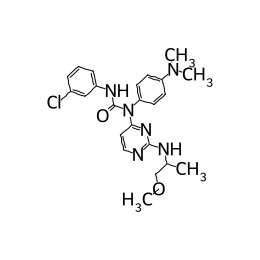 COCC(C)Nc1nccc(N(C(=O)Nc2cccc(Cl)c2)c2ccc(N(C)C)cc2)n1